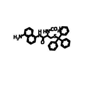 Nc1cccc2c(NC(=O)C(CSC(c3ccccc3)(c3ccccc3)c3ccccc3)NC(=O)O)cccc12